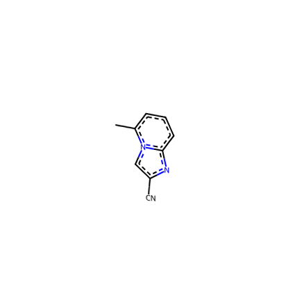 Cc1cccc2nc(C#N)cn12